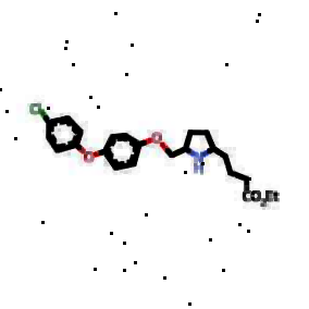 CCOC(=O)CCCC1CCC(COc2ccc(Oc3ccc(Cl)cc3)cc2)N1